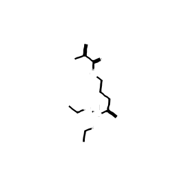 C=C(C)C(=O)OCCCC(=C)[SiH](OCC)OCC